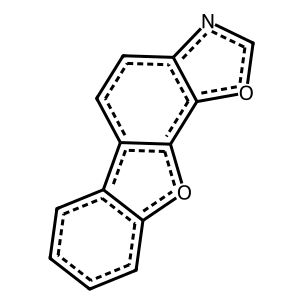 c1ccc2c(c1)oc1c2ccc2ncoc21